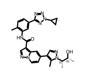 Cc1ccc(-c2nnn(C3CC3)n2)cc1NC(=O)c1cnn2ccc(-c3cnn([C@@H](C)[C@@H](C)O)c3C)cc12